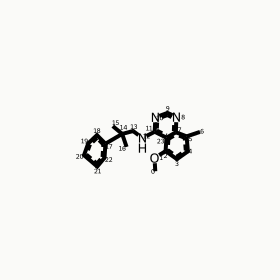 COc1ccc(C)c2ncnc(NCC(C)(C)c3ccccc3)c12